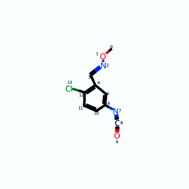 CON=Cc1cc(N=C=O)ccc1Cl